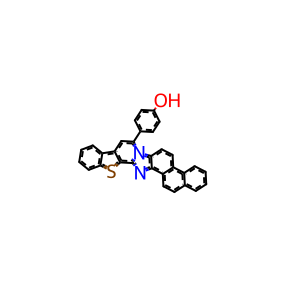 Oc1ccc(-c2cc3c4ccccc4sc3c3nc4c5ccc6ccccc6c5ccc4n23)cc1